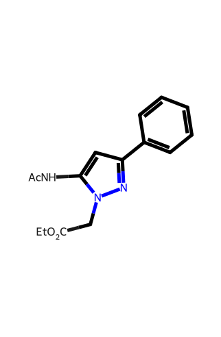 CCOC(=O)Cn1nc(-c2ccccc2)cc1NC(C)=O